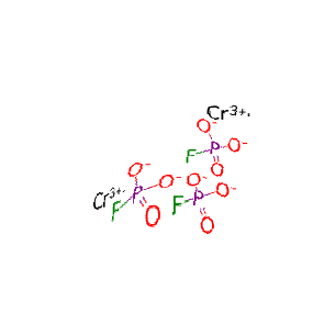 O=P([O-])([O-])F.O=P([O-])([O-])F.O=P([O-])([O-])F.[Cr+3].[Cr+3]